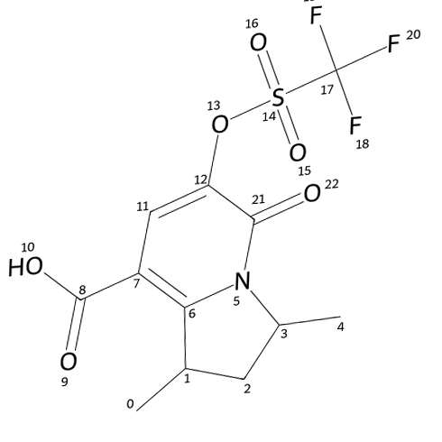 CC1CC(C)n2c1c(C(=O)O)cc(OS(=O)(=O)C(F)(F)F)c2=O